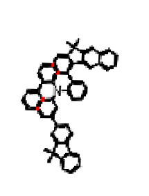 CC1(C)c2ccccc2-c2ccc(-c3cccc(N(c4ccccc4-c4ccccc4)c4ccccc4-c4cccc5c4-c4cc6ccccc6cc4C5(C)C)c3)cc21